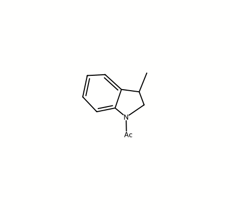 CC(=O)N1CC(C)c2ccccc21